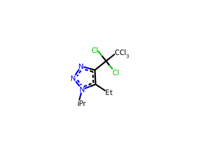 CCc1c(C(Cl)(Cl)C(Cl)(Cl)Cl)nnn1C(C)C